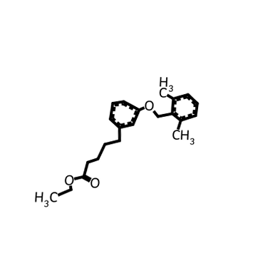 CCOC(=O)CCCCc1cccc(OCc2c(C)cccc2C)c1